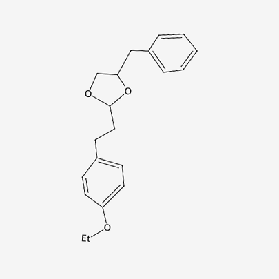 CCOc1ccc(CCC2OCC(Cc3ccccc3)O2)cc1